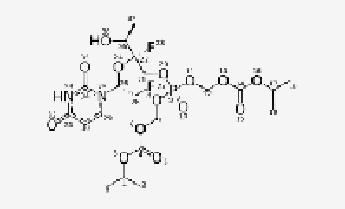 CC(C)OC(=O)OCOP(=O)(OCOC(=O)OC(C)C)OC[C@@](F)(O[C@H](CF)n1ccc(=O)[nH]c1=O)[C@H](C)O